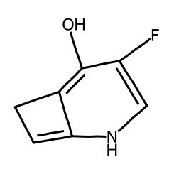 OC1=C2CC=C2NC=C1F